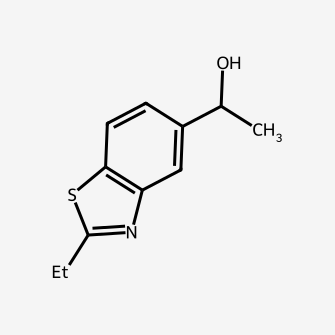 CCc1nc2cc(C(C)O)ccc2s1